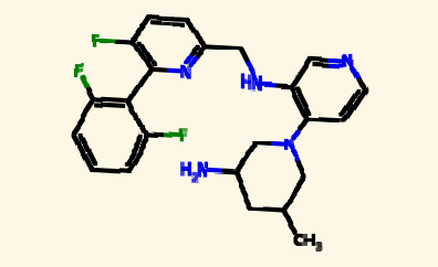 CC1CC(N)CN(c2ccncc2NCc2ccc(F)c(-c3c(F)cccc3F)n2)C1